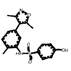 Cc1ccc(-c2c(C)noc2C)cc1NS(=O)(=O)c1ccc(O)cc1